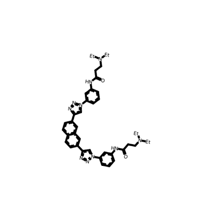 CCN(CC)CCC(=O)Nc1cccc(-n2cc(-c3ccc4ccc(-c5cn(-c6cccc(NC(=O)CCN(CC)CC)c6)nn5)cc4c3)nn2)c1